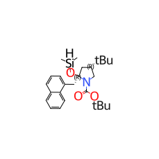 C[SiH](C)O[C@@]1(Cc2cccc3ccccc23)C[C@H](C(C)(C)C)CN1C(=O)OC(C)(C)C